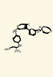 COC[C@@H](C)N[C@H]1CC[C@@H](Nc2cc(-c3cccc(NCC4(C#N)CCOCC4)n3)c(Cl)cn2)CC1